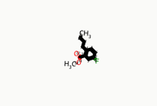 CCCCc1ccc(F)cc1C(=O)OC